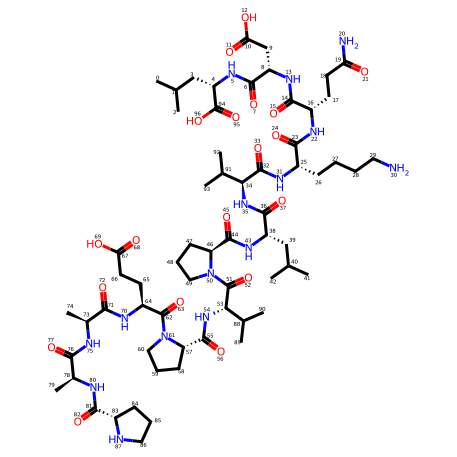 CC(C)C[C@H](NC(=O)[C@H](CC(=O)O)NC(=O)[C@H](CCC(N)=O)NC(=O)[C@H](CCCCN)NC(=O)[C@@H](NC(=O)[C@H](CC(C)C)NC(=O)[C@@H]1CCCN1C(=O)[C@@H](NC(=O)[C@@H]1CCCN1C(=O)[C@H](CCC(=O)O)NC(=O)[C@H](C)NC(=O)[C@H](C)NC(=O)[C@@H]1CCCN1)C(C)C)C(C)C)C(=O)O